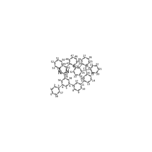 c1ccc(-c2cc(-c3cccc(-c4cccc(C5(c6ccccc6)c6ccccc6-c6ccccc65)c4)c3)cc(-c3nc(-c4ccccc4)c4ccccc4n3)c2)cc1